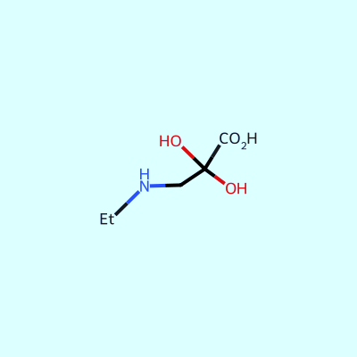 CCNCC(O)(O)C(=O)O